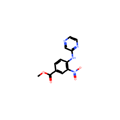 COC(=O)c1ccc(Nc2cnccn2)c([N+](=O)[O-])c1